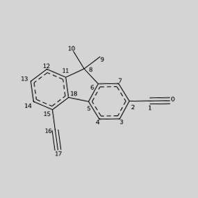 C#Cc1ccc2c(c1)C(C)(C)c1cccc(C#C)c1-2